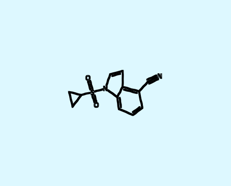 N#Cc1cccc2c1ccn2S(=O)(=O)C1CC1